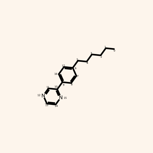 CCCCCCc1ccc(-c2cn[c]cn2)cc1